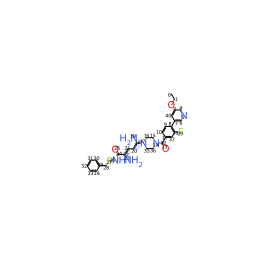 CCOc1cncc(-c2ccc(C(=O)N3CCN(/C(N)=C/C=C(\N)C(=O)NSCc4ccccc4)CC3)cc2F)c1